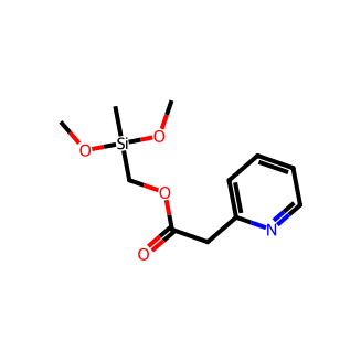 CO[Si](C)(COC(=O)Cc1ccccn1)OC